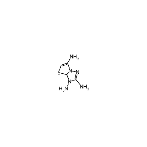 NC1=CSC2N(N)C(N)=NN12